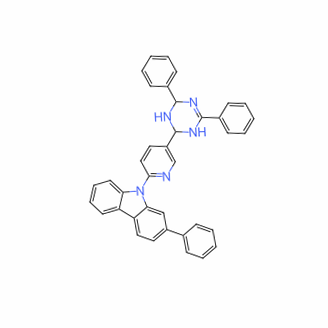 c1ccc(C2=NC(c3ccccc3)NC(c3ccc(-n4c5ccccc5c5ccc(-c6ccccc6)cc54)nc3)N2)cc1